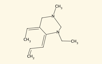 C=C/C=C1\C(=C/C)CN(C)CN1CC